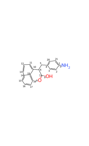 Nc1ccc(CC(C(=O)O)c2cccc3ccccc23)cc1